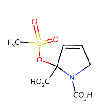 O=C(O)N1CC=CC1(OS(=O)(=O)C(F)(F)F)C(=O)O